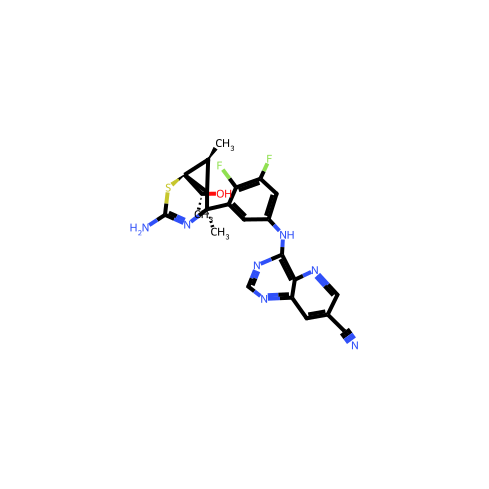 C[C@@H](O)[C@@]12SC(N)=N[C@](C)(c3cc(Nc4ncnc5cc(C#N)cnc45)cc(F)c3F)C1[C@@H]2C